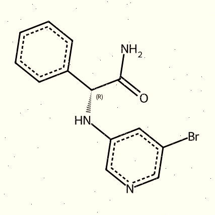 NC(=O)[C@H](Nc1cncc(Br)c1)c1ccccc1